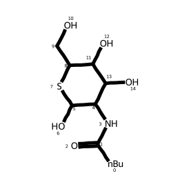 CCCCC(=O)NC1C(O)SC(CO)C(O)C1O